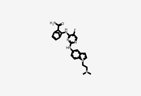 CN(C)CCn1ccc2cc(Nc3ncc(F)c(NC4C5C=CC(C5)C4C(N)=O)n3)ccc21